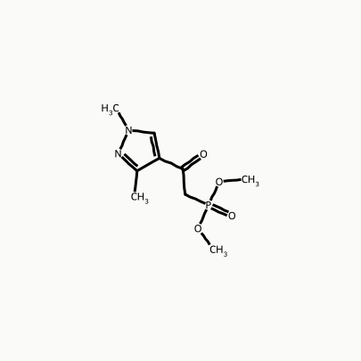 COP(=O)(CC(=O)c1cn(C)nc1C)OC